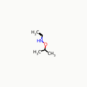 C=CNOC(C)C